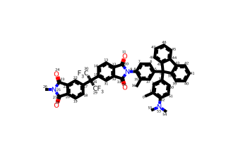 Cc1cc(C2(c3ccc(N4C(=O)c5ccc(C(c6ccc7c(c6)C(=O)N(C)C7=O)(C(F)(F)F)C(F)(F)F)cc5C4=O)c(C)c3)c3ccccc3-c3ccccc32)ccc1N(C)C